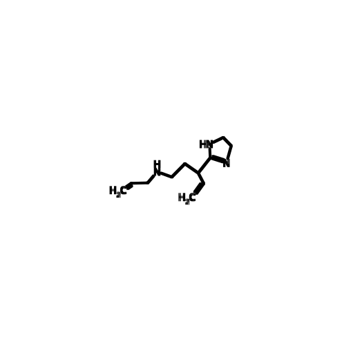 C=CCNCCC(C=C)C1=NCCN1